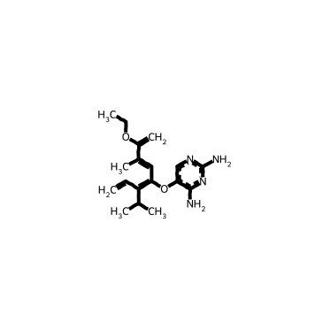 C=C/C(=C(\C=C(/C)C(=C)OCC)Oc1cnc(N)nc1N)C(C)C